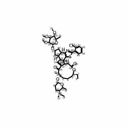 CC[C@H]1CCC[C@H](O[C@H]2CC[C@H](N(C)C)C(C)O2)[C@@H](C)C(=O)C2=C[C@H]3[C@@H]4C[C@H](O[C@@H]5OC(C)[C@H](OC)C(OC)C5OC)C[C@H]4c4nc(-c5ccccc5Cl)sc4[C@H]3C2CC(=O)O1